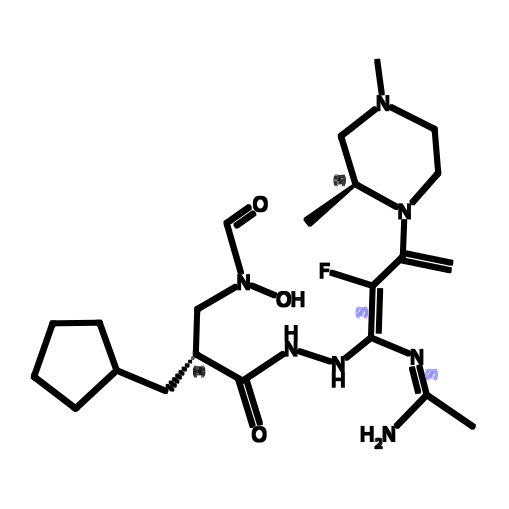 C=C(/C(F)=C(\N=C(\C)N)NNC(=O)[C@H](CC1CCCC1)CN(O)C=O)N1CCN(C)C[C@@H]1C